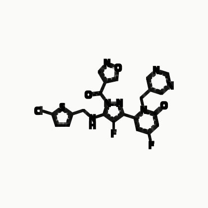 O=C(c1cnoc1)n1nc(-c2cc(F)cc(=O)n2Cc2cncnc2)c(F)c1NCc1ccc(Cl)s1